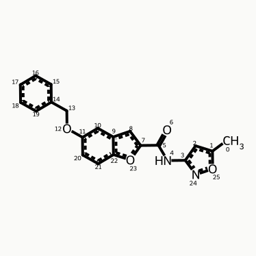 Cc1cc(NC(=O)c2cc3cc(OCc4ccccc4)ccc3o2)no1